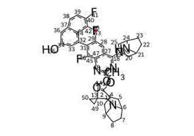 COC(=O)C1CC2CCC(C1)N2CC1(COc2nc(N3CC4CCC(C3)N4)c3cc(F)c(-c4cc(O)cc5ccc(F)c(F)c45)c(F)c3n2)CC1